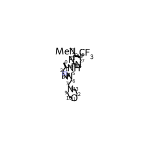 C=C(/C=N\N(C)CCN1CCOCC1)Nc1ncc(C(F)(F)F)c(NC)n1